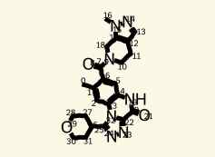 Cc1cc2c(cc1C(=O)N1CCc3cnn(C)c3C1)[nH]c(=O)c1nnc(C3CCOCC3)n12